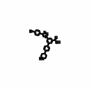 O=C(O)c1cc(-c2ccc(C3CCNCC3)cc2)cc(-n2cc(-c3ccc(Br)cc3)nn2)c1